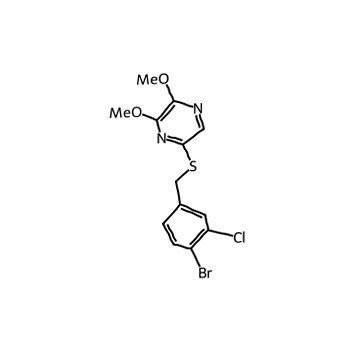 COc1ncc(SCc2ccc(Br)c(Cl)c2)nc1OC